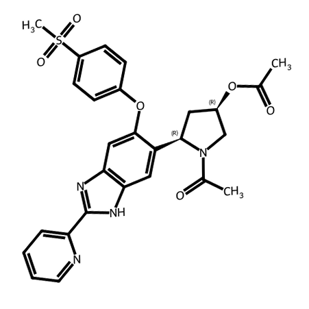 CC(=O)O[C@@H]1C[C@H](c2cc3[nH]c(-c4ccccn4)nc3cc2Oc2ccc(S(C)(=O)=O)cc2)N(C(C)=O)C1